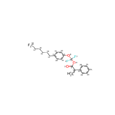 C=C(C(=O)OC(F)(F)Oc1ccc(CCCCCC(F)(F)F)cc1)c1ccccc1